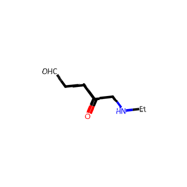 CCNCC(=O)CCC=O